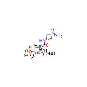 CS(=O)(=O)OC1=C(C(=O)O)N2C(=O)[C@@H]3[C@H]2[C@H](C1)CN3C(=O)Nc1ccc(C(N)=O)cc1.[NaH]